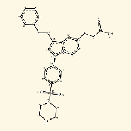 O=C(O)CCc1ccc2c(c1)c(CCc1ccccc1)cn2-c1ccc(S(=O)(=O)N2CCOCC2)cc1